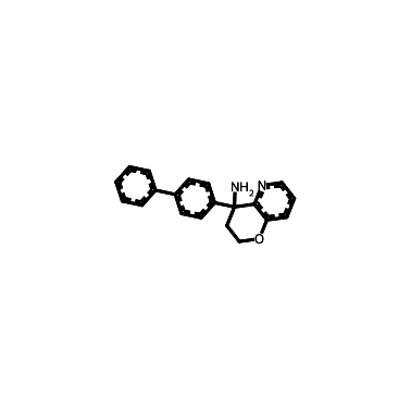 NC1(c2ccc(-c3ccccc3)cc2)CCOc2cccnc21